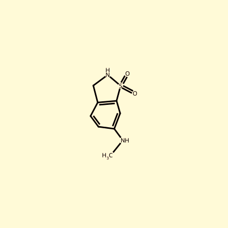 CNc1ccc2c(c1)S(=O)(=O)NC2